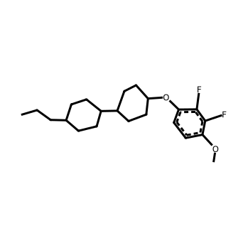 CCCC1CCC(C2CCC(Oc3ccc(OC)c(F)c3F)CC2)CC1